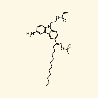 C=CC(=O)OCCn1c2ccc(N)cc2c2cc(/C(CCCCCCCCCCC)=N/OC(C)=O)ccc21